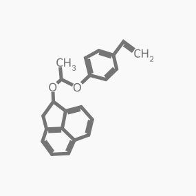 C=Cc1ccc(OC(C)OC2Cc3cccc4cccc2c34)cc1